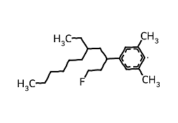 CCCCCCC(CC)CC(CCF)c1cc(C)[c]c(C)c1